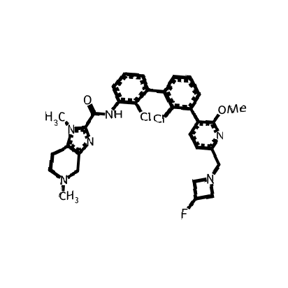 COc1nc(CN2CC(F)C2)ccc1-c1cccc(-c2cccc(NC(=O)c3nc4c(n3C)CCN(C)C4)c2Cl)c1Cl